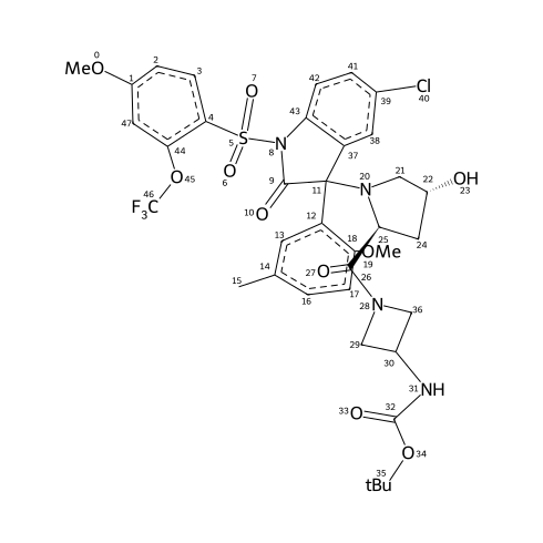 COc1ccc(S(=O)(=O)N2C(=O)C(c3cc(C)ccc3OC)(N3C[C@H](O)C[C@H]3C(=O)N3CC(NC(=O)OC(C)(C)C)C3)c3cc(Cl)ccc32)c(OC(F)(F)F)c1